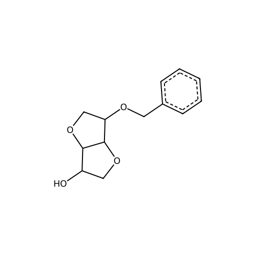 OC1COC2C(OCc3ccccc3)COC12